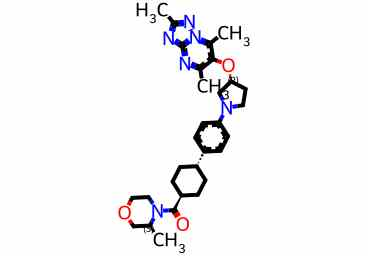 Cc1nc2nc(C)c(O[C@@H]3CCN(c4ccc([C@H]5CC[C@H](C(=O)N6CCOC[C@@H]6C)CC5)cc4)C3)c(C)n2n1